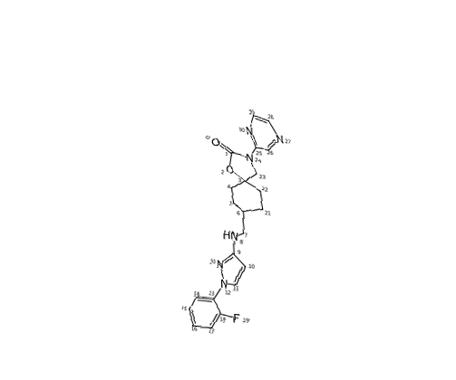 O=C1OC2(CCC(CNc3ccn(-c4ccccc4F)n3)CC2)CN1c1cnccn1